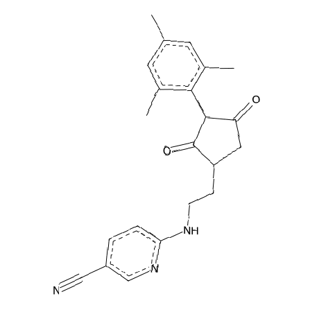 Cc1cc(C)c(C2C(=O)CC(CCNc3ccc(C#N)cn3)C2=O)c(C)c1